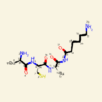 CCCC[C@@H](N)C(=O)N[C@@H](CS)C(=O)N[C@H](C(=O)NC(=O)CCCCCN)[C@@H](C)CC